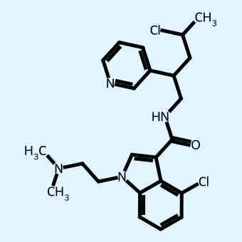 CC(Cl)CC(CNC(=O)c1cn(CCN(C)C)c2cccc(Cl)c12)c1cccnc1